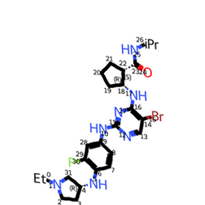 CCN1CC[C@@H](Nc2ccc(Nc3ncc(Br)c(N[C@@H]4CCC[C@@H]4C(=O)NC(C)C)n3)cc2F)C1